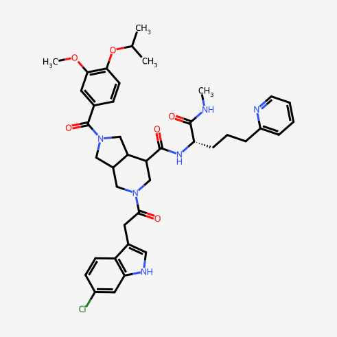 CNC(=O)[C@H](CCCc1ccccn1)NC(=O)C1CN(C(=O)Cc2c[nH]c3cc(Cl)ccc23)CC2CN(C(=O)c3ccc(OC(C)C)c(OC)c3)CC21